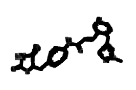 Cn1cc(-c2ccncc2C=CC(=O)Nc2ccc(CC3SC(=O)NC3=O)cc2)cn1